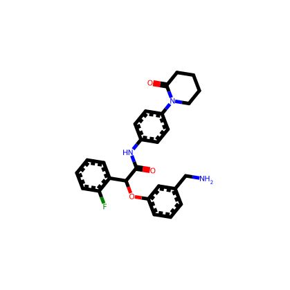 NCc1cccc(OC(C(=O)Nc2ccc(N3CCCCC3=O)cc2)c2ccccc2F)c1